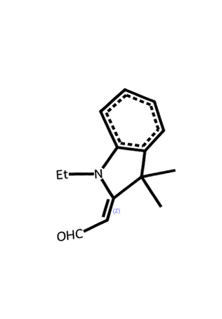 CCN1/C(=C\C=O)C(C)(C)c2ccccc21